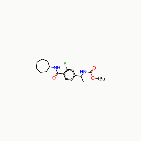 CC(NC(=O)OC(C)(C)C)c1ccc(C(=O)NC2CCCCCC2)c(F)c1